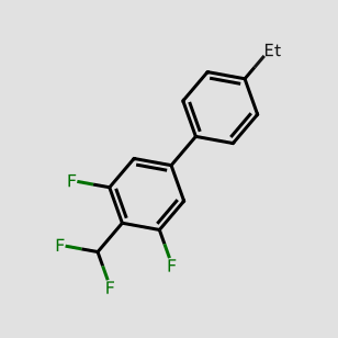 CCc1ccc(-c2cc(F)c(C(F)F)c(F)c2)cc1